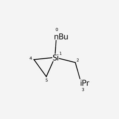 CCCC[Si]1(CC(C)C)CC1